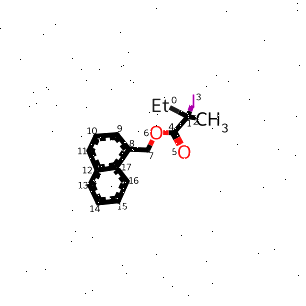 CCC(C)(I)C(=O)OCc1cccc2ccccc12